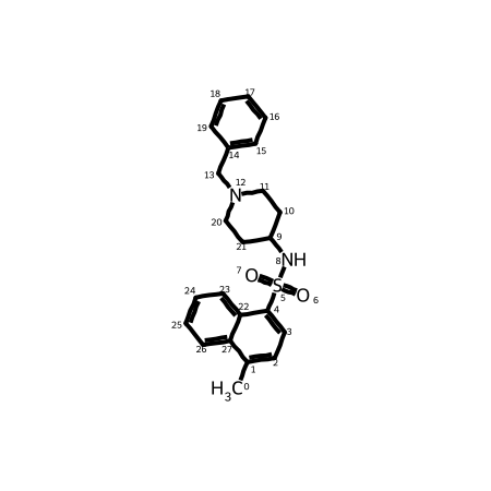 Cc1ccc(S(=O)(=O)NC2CCN(Cc3ccccc3)CC2)c2ccccc12